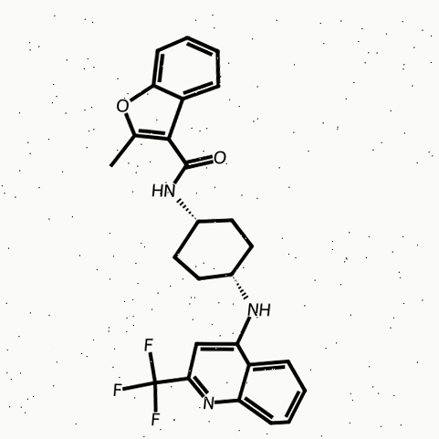 Cc1oc2ccccc2c1C(=O)N[C@H]1CC[C@@H](Nc2cc(C(F)(F)F)nc3ccccc23)CC1